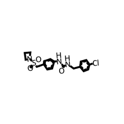 O=C(NCc1ccc(Cl)cc1)Nc1ccc(CS(=O)(=O)N2CCC2)cc1